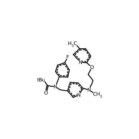 Cc1ccc(OCCN(C)c2ccc(CN(C(=O)C(C)(C)C)c3ccc(F)cc3)cn2)nc1